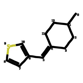 CC1CCC(=Cc2ccsc2)CC1